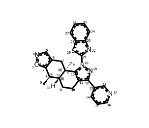 C[C@H]1c2oncc2C[C@@]2(C)c3c(c(-c4cccnc4)nn3-c3nc4ccccc4s3)CC[C@H]12